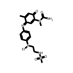 CCN(CCNS(C)(=O)=O)c1ccc(N=C2C=C(N(C)C(N)=O)C(=O)C=C2C)cc1